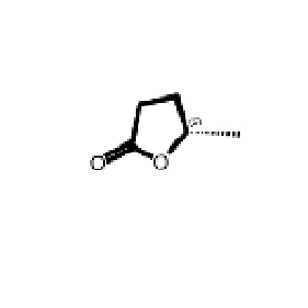 C[C@H]1CCC(=O)O1